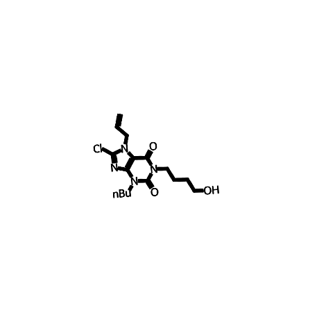 C=CCn1c(Cl)nc2c1c(=O)n(CCCCO)c(=O)n2CCCC